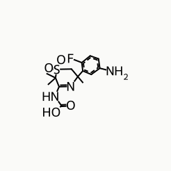 CC1(c2cc(N)ccc2F)CS(=O)(=O)C(C)(C)C(NC(=O)O)=N1